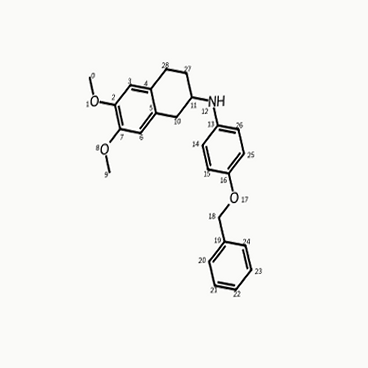 COc1cc2c(cc1OC)CC(Nc1ccc(OCc3ccccc3)cc1)CC2